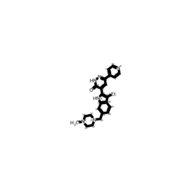 CCc1c(-c2cc(-c3ccncc3)n[nH]c2=O)[nH]c2cc(CN3CCN(C)CC3)ccc12